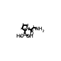 NCC(=O)N1CCCC1B(O)O